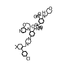 CC1(C)CCC(CN2CCN(c3ccc(C(=O)NS(=O)(=O)c4ccc(NCC5CCOCC5)c([N+](=O)[O-])c4)c(N4CCCOc5cnccc54)c3)CC2)=C(c2ccc(Cl)cc2)C1